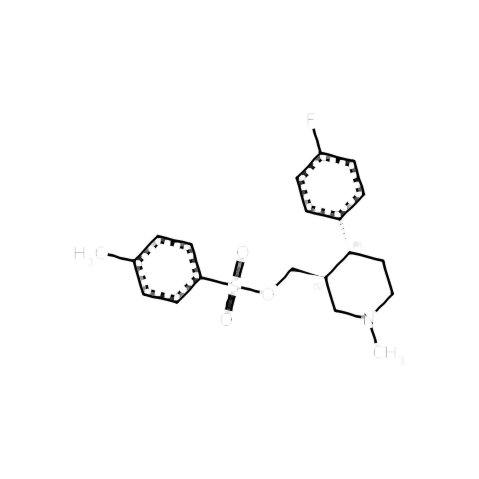 Cc1ccc(S(=O)(=O)OC[C@@H]2CN(C)CC[C@H]2c2ccc(F)cc2)cc1